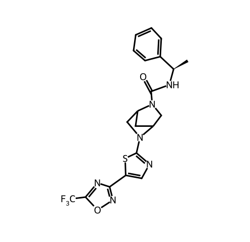 C[C@@H](NC(=O)N1CC2CC1CN2c1ncc(-c2noc(C(F)(F)F)n2)s1)c1ccccc1